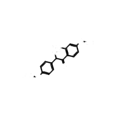 COc1ccc(C(O)C(=O)c2ccc(OC)cc2O)cc1